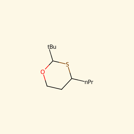 CCCC1CCOC(C(C)(C)C)S1